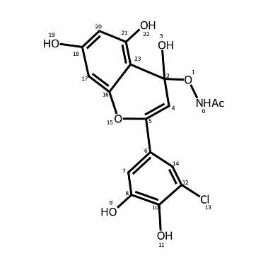 CC(=O)NOC1(O)C=C(c2cc(O)c(O)c(Cl)c2)Oc2cc(O)cc(O)c21